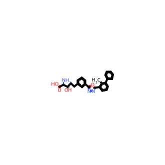 Cc1c(-c2ccccc2)cccc1-c1nnc(-c2cccc(CC[C@@H](O)[C@H](N)C(=O)O)c2)o1